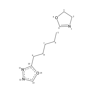 C1=NCCO1.CCCCCc1nnco1